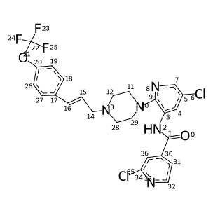 O=C(Nc1cc(Cl)cnc1N1CCN(CC=Cc2ccc(OC(F)(F)F)cc2)CC1)c1ccnc(Cl)c1